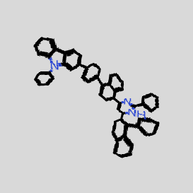 C1=C(c2ccc(-c3ccc(-c4ccc5c6ccccc6n(-c6ccccc6)c5c4)cc3)c3ccccc23)N=C(c2ccccc2)NC1c1ccc2ccccc2c1-c1ccccc1